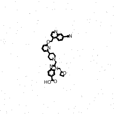 N#Cc1ccc2c(COc3cccc(C4CCN(Cc5nc6ccc(C(=O)O)cc6n5C[C@@H]5CCO5)CC4)n3)ccnc2c1